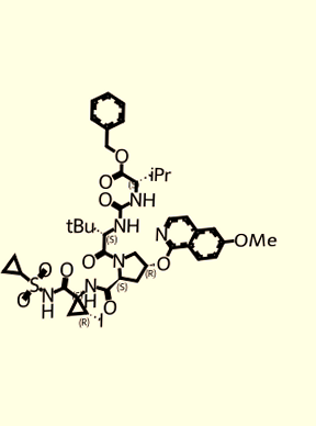 COc1ccc2c(O[C@@H]3C[C@@H](C(=O)N[C@]4(C(=O)NS(=O)(=O)C5CC5)C[C@H]4I)N(C(=O)[C@@H](NC(=O)N[C@H](C(=O)OCc4ccccc4)C(C)C)C(C)(C)C)C3)nccc2c1